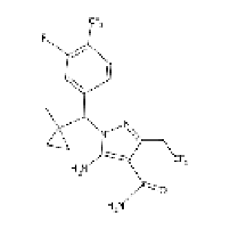 CC1(C(c2ccc(C(F)(F)F)c(F)c2)n2nc(CC(F)(F)F)c(C(N)=O)c2N)CC1